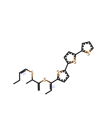 C=C(S/C(=C\C)c1ccc(-c2ccc(-c3cccs3)s2)s1)C(C)S/C=C\CC